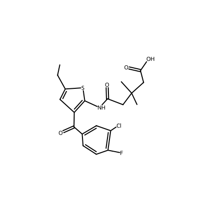 CCc1cc(C(=O)c2ccc(F)c(Cl)c2)c(NC(=O)CC(C)(C)CC(=O)O)s1